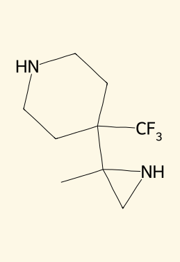 CC1(C2(C(F)(F)F)CCNCC2)CN1